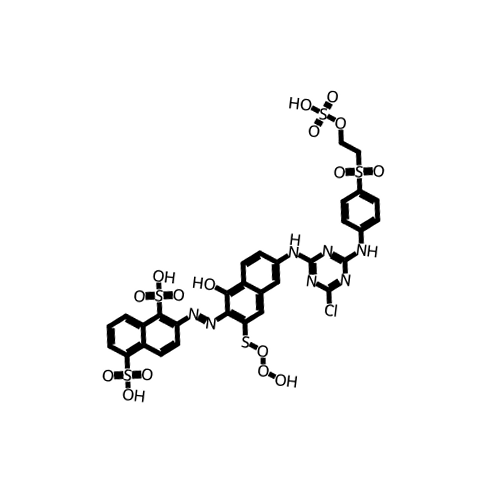 O=S(=O)(O)OCCS(=O)(=O)c1ccc(Nc2nc(Cl)nc(Nc3ccc4c(O)c(N=Nc5ccc6c(S(=O)(=O)O)cccc6c5S(=O)(=O)O)c(SOOO)cc4c3)n2)cc1